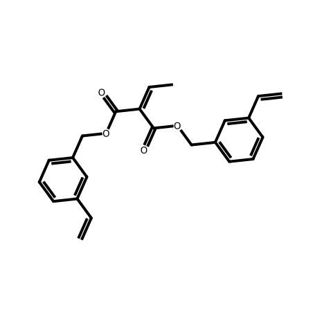 C=Cc1cccc(COC(=O)C(=CC)C(=O)OCc2cccc(C=C)c2)c1